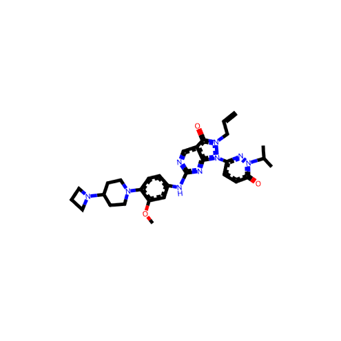 C=CCn1c(=O)c2cnc(Nc3ccc(N4CCC(N5CCC5)CC4)c(OC)c3)nc2n1-c1ccc(=O)n(C(C)C)n1